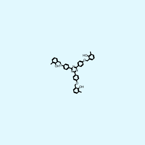 Cc1cccc(COc2ccc(-c3nc(-c4ccc(OCc5cccc(C)c5O)cc4)nc(-c4ccc(OCc5cccc(C)c5O)cc4)n3)cc2)c1O